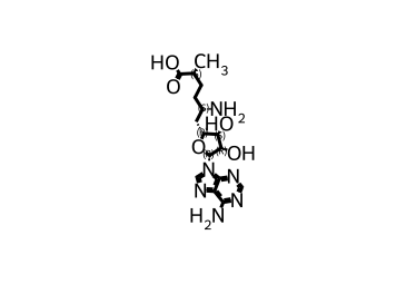 C[C@@H](CC[C@H](N)C[C@H]1O[C@@H](n2cnc3c(N)ncnc32)[C@H](O)[C@@H]1O)C(=O)O